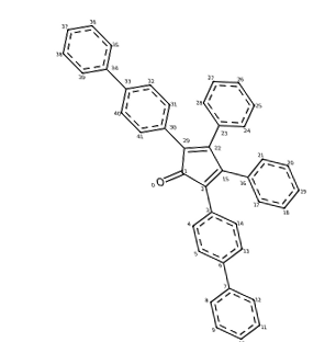 O=C1C(c2ccc(-c3ccccc3)cc2)=C(c2ccccc2)C(c2ccccc2)=C1c1ccc(-c2ccccc2)cc1